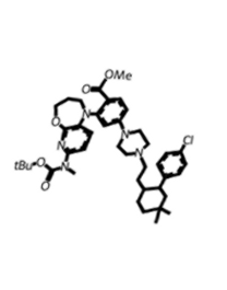 COC(=O)c1ccc(N2CCN(CCC3CCC(C)(C)CC3c3ccc(Cl)cc3)CC2)cc1N1CCCOc2nc(N(C)C(=O)OC(C)(C)C)ccc21